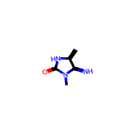 C=C1NC(=O)N(C)C1=N